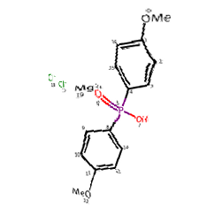 COc1ccc(P(=O)(O)c2ccc(OC)cc2)cc1.[Cl-].[Cl-].[Mg+2]